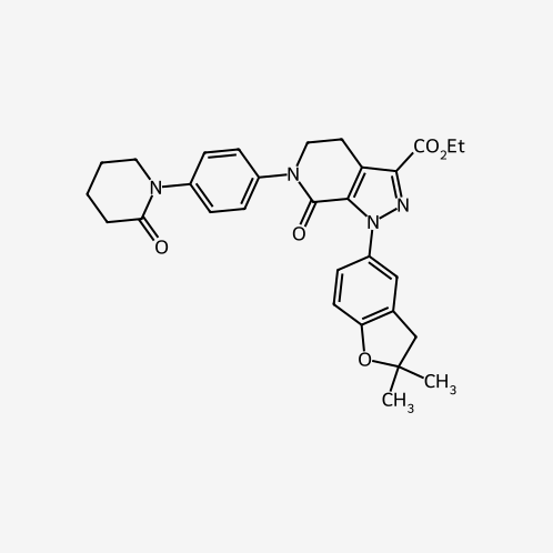 CCOC(=O)c1nn(-c2ccc3c(c2)CC(C)(C)O3)c2c1CCN(c1ccc(N3CCCCC3=O)cc1)C2=O